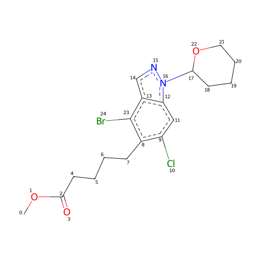 COC(=O)CCCCc1c(Cl)cc2c(cnn2C2CCCCO2)c1Br